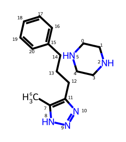 C1CNCCN1.Cc1[nH]nnc1CCCc1ccccc1